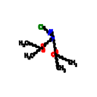 CCCCCCCCC(CCCCCC)C(=O)OCCCCCCN(CCCCCCOC(=O)C(CCCCCC)CCCCCCCC)Cc1cnn(CCCCCl)c1